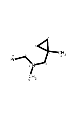 CC(C)CN(C)CC1(C)CC1